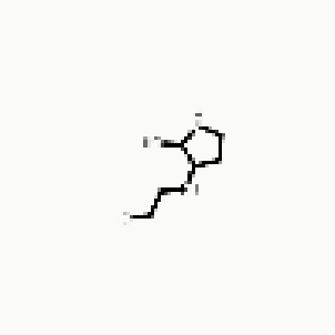 OCCNC1CCNC1O